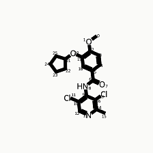 COc1ccc(C(=O)Nc2c(Cl)cnc(C)c2Cl)cc1OC1CCCC1